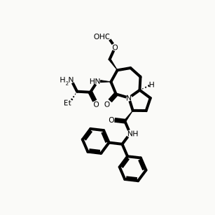 CC[C@H](N)C(=O)N[C@@H]1C(=O)N2[C@@H](CC[C@@H]1COC=O)CC[C@H]2C(=O)NC(c1ccccc1)c1ccccc1